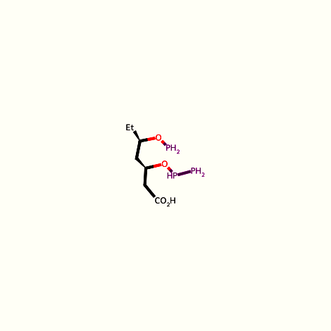 CC[C@H](C[C@H](CC(=O)O)OPP)OP